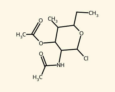 CCC1OC(Cl)C(NC(C)=O)C(OC(C)=O)C1C